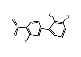 O=[SH](=O)c1ccc(-c2cccc(Cl)c2Cl)cc1F